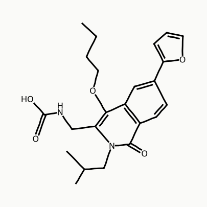 CCCCOc1c(CNC(=O)O)n(CC(C)C)c(=O)c2ccc(-c3ccco3)cc12